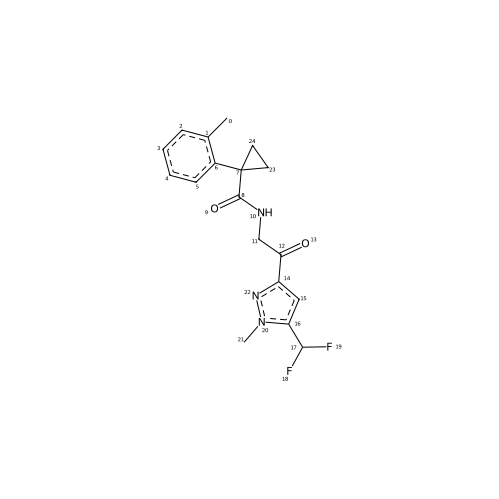 Cc1ccccc1C1(C(=O)NCC(=O)c2cc(C(F)F)n(C)n2)CC1